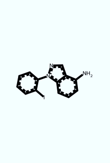 Nc1cccc2c1cnn2-c1ccccc1I